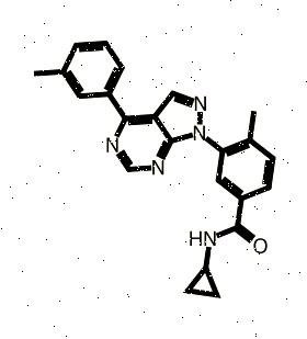 Cc1cccc(-c2ncnc3c2cnn3-c2cc(C(=O)NC3CC3)ccc2C)c1